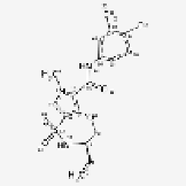 C=C[C@@H]1COc2c(cn(C)c2C(=O)Nc2ccc(F)c(C(F)(F)F)c2)S(=O)(=O)N1